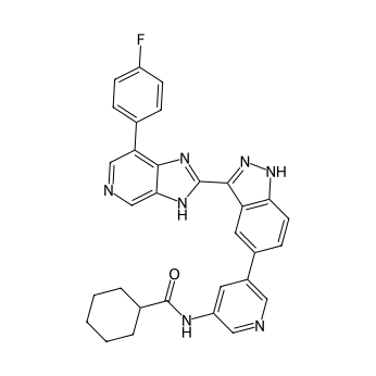 O=C(Nc1cncc(-c2ccc3[nH]nc(-c4nc5c(-c6ccc(F)cc6)cncc5[nH]4)c3c2)c1)C1CCCCC1